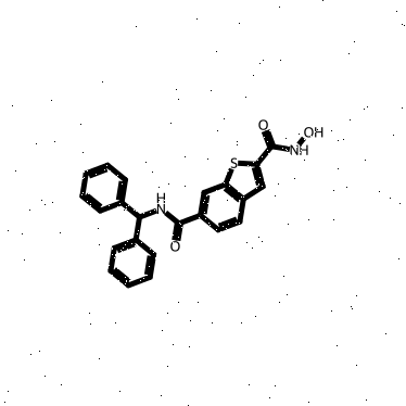 O=C(NC(c1ccccc1)c1ccccc1)c1ccc2cc(C(=O)NO)sc2c1